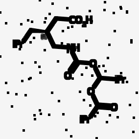 CC(C)C[C@H](CNC(=O)OC(OC(=O)C(C)C)C(C)C)CC(=O)O